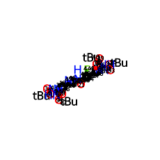 CC(C)(C)OC(=O)N=C(NC(=O)OC(C)(C)C)N1CC=C(c2ccc(NC(=O)c3ccc(C4=CCN(C(=NC(=O)OC(C)(C)C)NC(=O)OC(C)(C)C)CC4)c(F)c3)cn2)CC1